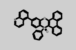 O=P1(c2ccccc2)c2ccc(-c3cccc4ncccc34)cc2Oc2c1c1ccccc1c1ccccc21